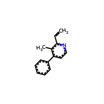 C=Cc1nccc(-c2ccccc2)c1C